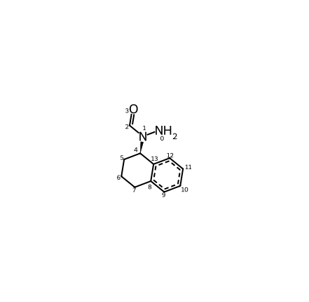 NN(C=O)[C@@H]1CCCc2ccccc21